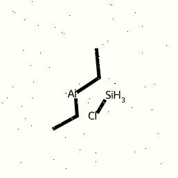 C[CH2][Al][CH2]C.[SiH3]Cl